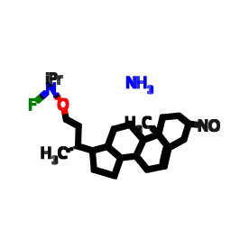 CC(C)N(F)OCC[C@@H](C)C1CCC2C1CCC1C2CC=C2CC(N=O)CCC21C.N